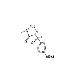 CN(C)C(=O)C(=NO)S(=O)(=O)c1ccc(C(C)(C)C)cc1